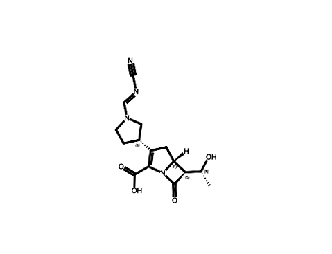 C[C@@H](O)[C@H]1C(=O)N2C(C(=O)O)=C([C@@H]3CCN(C=NC#N)C3)C[C@H]12